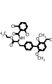 CCOC(=O)[C@H](Cc1ccc(-c2c(OC)ccc(CCl)c2OC)cc1)NC(=O)c1c(Cl)cccc1Cl